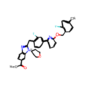 COC(=O)c1ccc2nc(Cc3ccc(-c4cccc(OCc5ccc(C#N)cc5F)n4)cc3F)n([C@@H]3CCOC3)c2c1